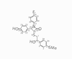 CSc1ccc(C(O)CSC2C(=O)N(c3ccc(F)cc3)C2c2ccc(O)cc2)cc1